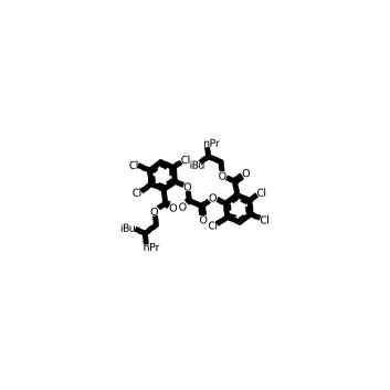 CCCC(COC(=O)c1c(Cl)c(Cl)cc(Cl)c1OC(=O)C(=O)Oc1c(Cl)cc(Cl)c(Cl)c1C(=O)OCC(CCC)C(C)CC)C(C)CC